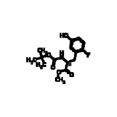 COC(=O)[C@H](Cc1cc(O)ccc1F)NC(=O)OC(C)(C)C